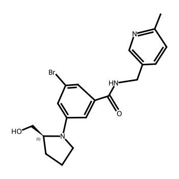 Cc1ccc(CNC(=O)c2cc(Br)cc(N3CCC[C@H]3CO)c2)cn1